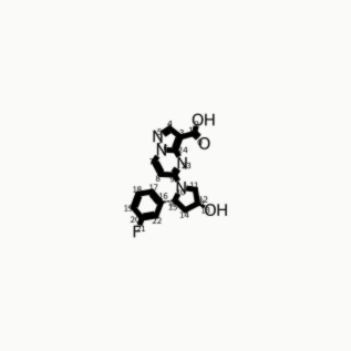 O=C(O)c1cnn2ccc(N3C[C@@H](O)C[C@@H]3c3cccc(F)c3)nc12